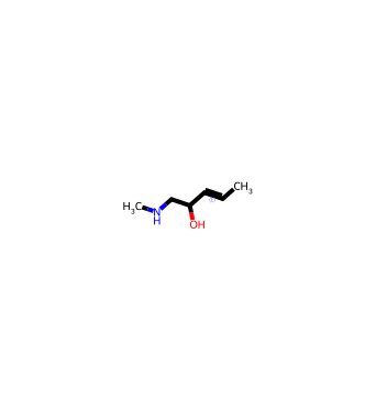 C/C=C/C(O)CNC